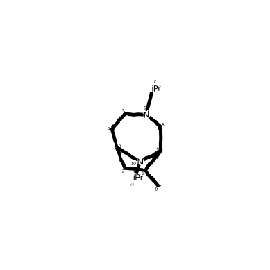 CC1CC2CCN(C(C)C)CC1N2C(C)C